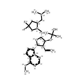 C=C[C@@H]1[C@H](OC(C)(C)O)[C@@H](CN2CC(F)(F)C[C@H]2CN(C)C)O[C@H]1c1ccc2c(SC)ncnn12